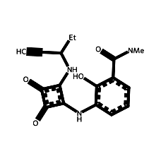 C#CC(CC)Nc1c(Nc2cccc(C(=O)NC)c2O)c(=O)c1=O